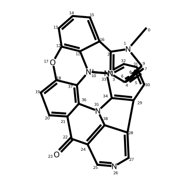 Cn1c2[n+](c3ccccc31)[N+]13c4c(cccc4-2)Oc2ccc4c(=O)c5cncc6c7ccc[n+]1c7n(c4c23)c56